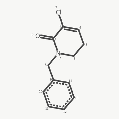 O=C1C(Cl)=CCCN1Cc1ccccc1